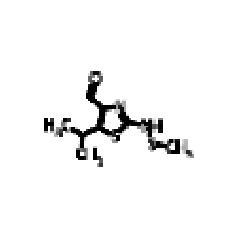 CSNc1nc(C=O)c(C(C)C)s1